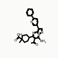 CC(=O)c1c(C2CCC(C)(C(=O)O)CC2)nc2c(-c3ccc(-c4ccccc4)nc3)cnn2c1N